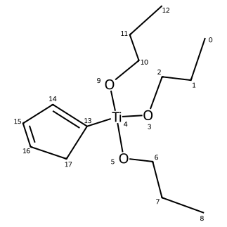 CCC[O][Ti]([O]CCC)([O]CCC)[C]1=CC=CC1